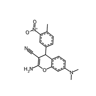 Cc1ccc(C2C(C#N)=C(N)Oc3cc(N(C)C)ccc32)cc1[N+](=O)[O-]